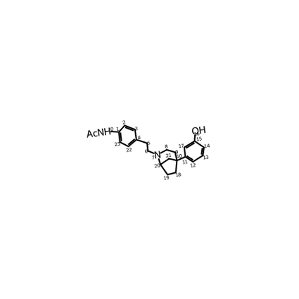 CC(=O)Nc1ccc(CCN2CCC3(c4cccc(O)c4)CCC2C3)cc1